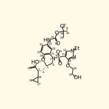 C=C(O)[C@H](C[C@H]1CN(S(=O)(=O)c2cn(CC)nc2OCCO)c2cc(NC(=O)OC(C)(C)C(F)(F)F)ccc2O1)C1CC1